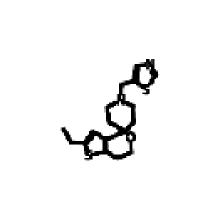 CCc1cc2c(s1)CCOC21CCN(Cc2cncs2)CC1